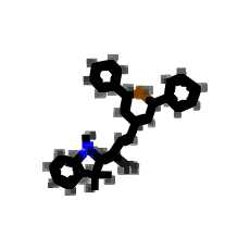 CCC(C=CC1=CC(c2ccccc2)SC(c2ccccc2)=C1)=C1N(C)c2ccccc2C1(C)C